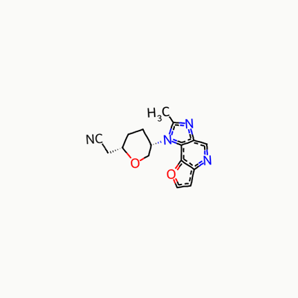 Cc1nc2cnc3ccoc3c2n1[C@H]1CC[C@@H](CC#N)OC1